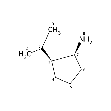 CC(C)[C@@H]1CCC[C@@H]1N